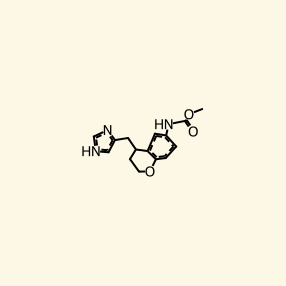 COC(=O)Nc1ccc2c(c1)C(Cc1c[nH]cn1)CCO2